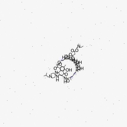 CCN(C)COC(=O)CC(=O)O[C@H]1[C@H](C)[C@H](O)[C@H](C)[C@@H](O)[C@@H](C)/C=C/C=C(/C)C(=O)NC2=C3NC4(CCN(CC(C)C)CC4)N=C3c3c(c(O)c(C)c4c3C(=O)[C@@](C)(O/C=C/[C@H](OC)[C@H]1C)O4)C2=O